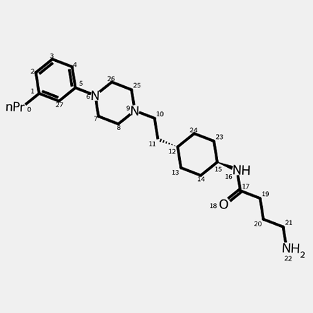 CCCc1cccc(N2CCN(CC[C@H]3CC[C@H](NC(=O)CCCN)CC3)CC2)c1